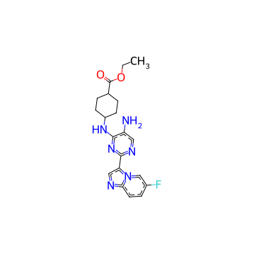 CCOC(=O)C1CCC(Nc2nc(-c3cnc4ccc(F)cn34)ncc2N)CC1